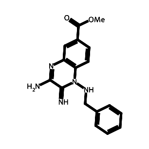 COC(=O)c1ccc2c(c1)nc(N)c(=N)n2NCc1ccccc1